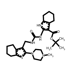 CN1CCN(c2sc3c(c2CNC(=O)Nc2[nH]c4c(c2C(=O)OC(C)(C)C)CCCC4)CCCC3)CC1